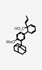 CC=CC1(C(=O)O)C=CC=CC1c1ccc(OC)c(C23CC4CC(CC(C4)C2)C3)c1